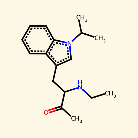 CCNC(Cc1cn(C(C)C)c2ccccc12)C(C)=O